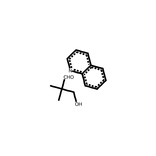 CC(C)(C=O)CO.c1ccc2ncccc2c1